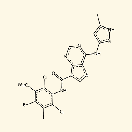 COc1c(Cl)c(NC(=O)c2csc3c(Nc4cc(C)[nH]n4)ncnc23)c(Cl)c(C)c1Br